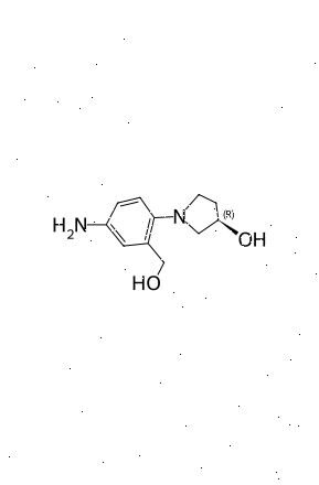 Nc1ccc(N2CC[C@@H](O)C2)c(CO)c1